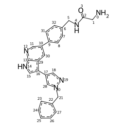 NCC(=O)NCc1ccc(-c2cnc3[nH]cc(-c4cnn(Cc5ccccc5)c4)c3c2)cc1